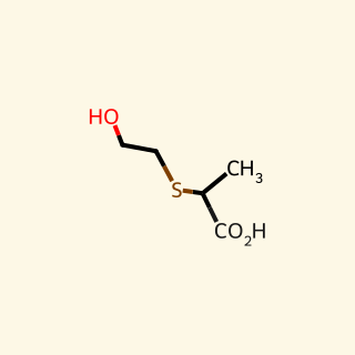 CC(SCCO)C(=O)O